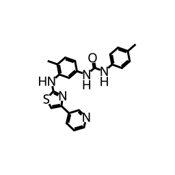 Cc1ccc(NC(=O)Nc2ccc(C)c(Nc3nc(-c4cccnc4)cs3)c2)cc1